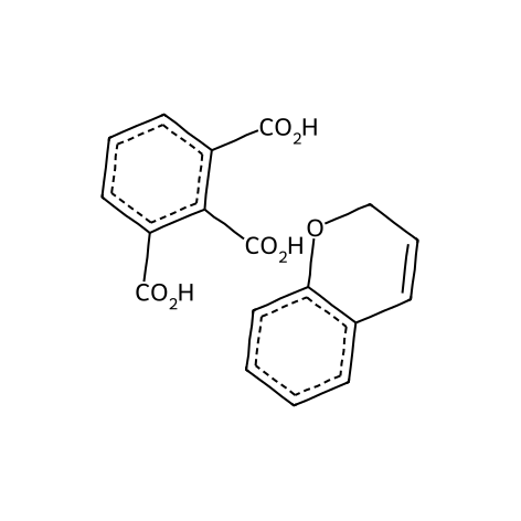 C1=Cc2ccccc2OC1.O=C(O)c1cccc(C(=O)O)c1C(=O)O